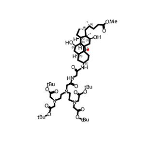 COC(=O)CC[C@@H](C)[C@H]1CC[C@H]2[C@@H]3[C@H](O)C[C@@H]4C[C@@H](NC(=O)CNC(=O)CN(CCN(CC(=O)OC(C)(C)C)CC(=O)OC(C)(C)C)CCN(CC(=O)OC(C)(C)C)CC(=O)OC(C)(C)C)CC[C@]4(C)[C@H]3C[C@H](O)[C@]12C